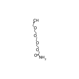 C#CCOCCOCCOCCOCC(N)=O